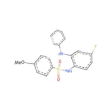 COc1ccc(S(=O)(=O)Nc2ccc(F)cc2Nc2ccccc2)cc1